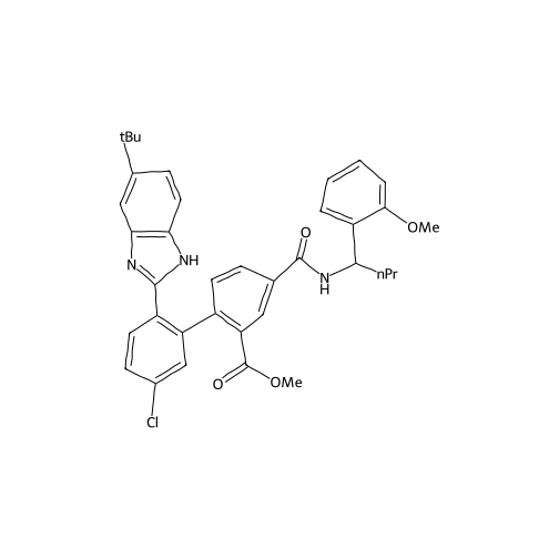 CCCC(NC(=O)c1ccc(-c2cc(Cl)ccc2-c2nc3cc(C(C)(C)C)ccc3[nH]2)c(C(=O)OC)c1)c1ccccc1OC